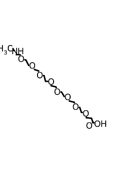 CNCCOCCOCCOCCOCCOCCOCCOCCOCCC(=O)O